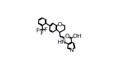 O=C(O)c1ccncc1N/C=C/C1CCOc2cc(-c3ccccc3C(F)(F)F)ccc21